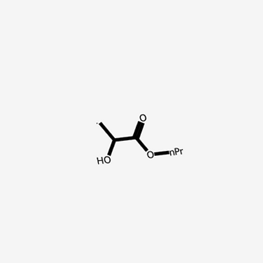 [CH2]C(O)C(=O)OCCC